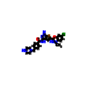 CN(NC(=O)c1cc2c(NC(=O)c3ccc(CN4CCNCC4)cc3)n[nH]c2s1)c1ccc(Cl)cc1